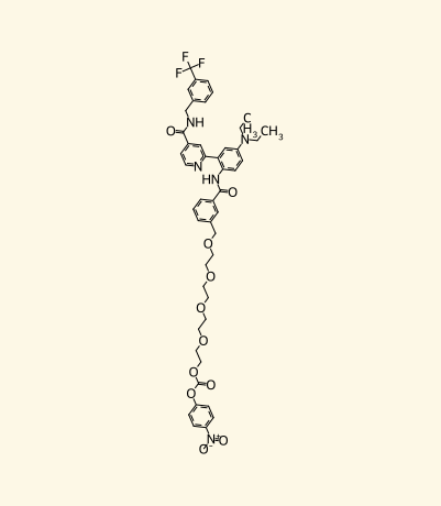 CCN(CC)c1ccc(NC(=O)c2cccc(COCCOCCOCCOCCOC(=O)Oc3ccc([N+](=O)[O-])cc3)c2)c(-c2cc(C(=O)NCc3cccc(C(F)(F)F)c3)ccn2)c1